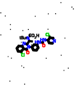 CC(c1nc2cccc(Cl)c2c(=O)n1-c1cccc(NC(=O)Nc2ccncc2Cl)c1)N(C(=O)O)C(C)(C)C